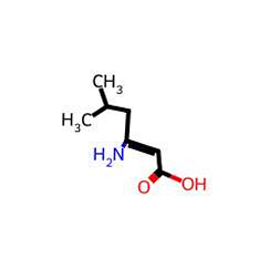 CC(C)C/C(N)=C/C(=O)O